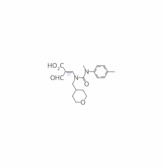 Cc1ccc(N(C)C(=O)N(/C=C(\C=O)C(=O)O)CC2CCOCC2)cc1